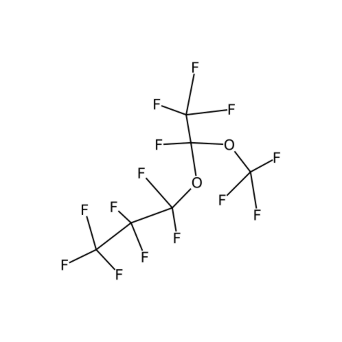 FC(F)(F)OC(F)(OC(F)(F)C(F)(F)C(F)(F)F)C(F)(F)F